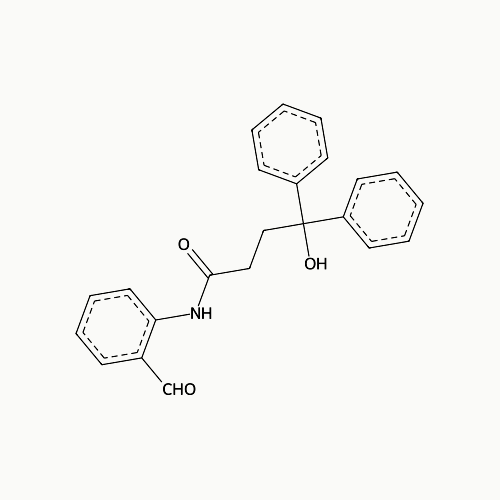 O=Cc1ccccc1NC(=O)CCC(O)(c1ccccc1)c1ccccc1